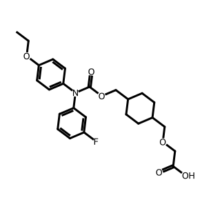 CCOc1ccc(N(C(=O)OCC2CCC(COCC(=O)O)CC2)c2cccc(F)c2)cc1